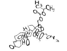 CCOC(=O)O[C@]1(C(=O)COC(=O)OC(C)C)CC[C@H]2[C@@H]3CCC4=CC(=O)CC[C@]4(C)[C@H]3C(=O)C[C@@]21C